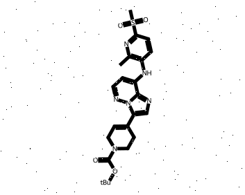 Cc1nc(S(C)(=O)=O)ccc1Nc1ccnn2c(C3=CCN(C(=O)OC(C)(C)C)CC3)cnc12